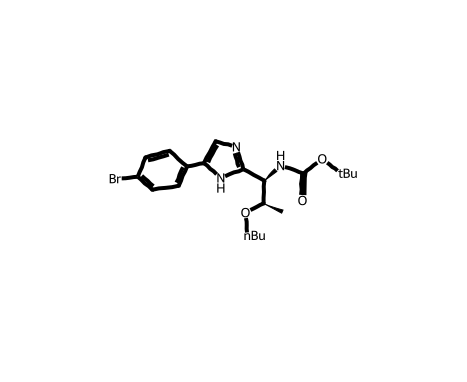 CCCCO[C@H](C)[C@H](NC(=O)OC(C)(C)C)c1ncc(-c2ccc(Br)cc2)[nH]1